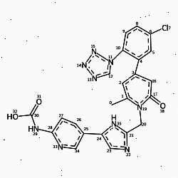 Cc1cc(-c2cc(Cl)ccc2-n2cnnn2)cc(=O)n1Cc1ncc(-c2ccc(NC(=O)O)nc2)[nH]1